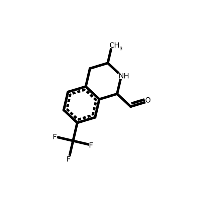 CC1Cc2ccc(C(F)(F)F)cc2C(C=O)N1